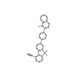 Cc1c(-c2ccc(-c3ccc4c(c3)C(C)(C)c3cccc(C#N)c3-4)cc2)ccc2ccccc12